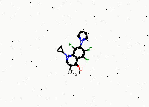 O=C(O)c1cn(C2CC2)c2c(F)c(-n3cccc3)c(F)c(F)c2c1=O